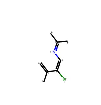 C=C(C)/C(Br)=C\N=C(C)C